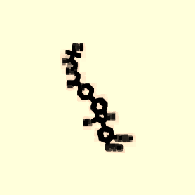 COc1ccc(-c2[nH]c3ccc(C4CCN(C(=O)CNC[C@@H](F)C(C)(C)O)CC4)cc3c2C(C)C)cc1OC